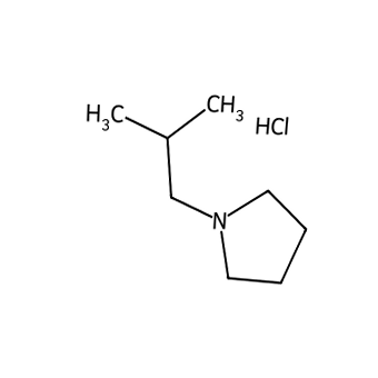 CC(C)CN1CCCC1.Cl